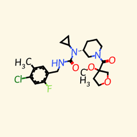 COC1(C(=O)N2CCC[C@@H](N(C(=O)NCc3cc(C)c(Cl)cc3F)C3CC3)C2)CCOC1